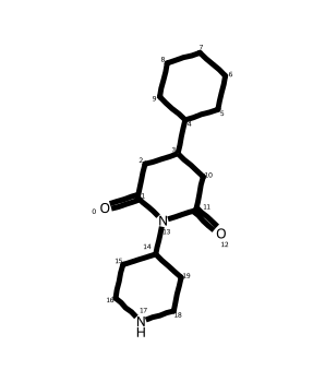 O=C1CC(C2CCCCC2)CC(=O)N1C1CCNCC1